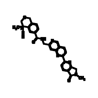 CN1Cc2nc(-c3ccc4cnc(CNC(=O)c5ccc6c(c5)[C@](C)(C#N)COC6)cc4n3)ccc2C1=O